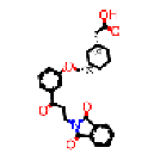 O=C(O)C[C@@H]1CCC[C@H](COc2cccc(C(=O)CCN3C(=O)c4ccccc4C3=O)c2)C1